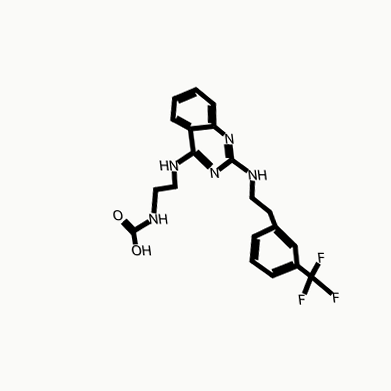 O=C(O)NCCNc1nc(NCCc2cccc(C(F)(F)F)c2)nc2ccccc12